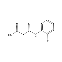 O=C(O)CC(=O)Nc1ccccc1Cl